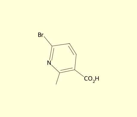 Cc1nc(Br)ccc1C(=O)O